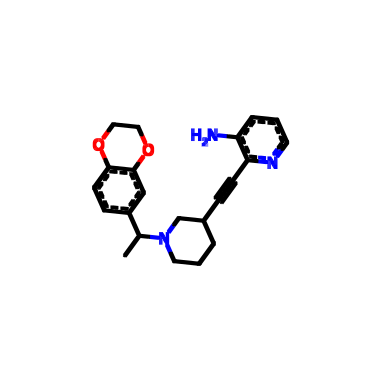 CC(c1ccc2c(c1)OCCO2)N1CCCC(C#Cc2ncccc2N)C1